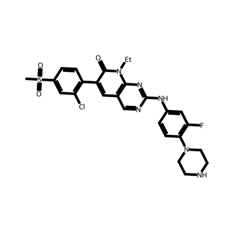 CCn1c(=O)c(-c2ccc(S(C)(=O)=O)cc2Cl)cc2cnc(Nc3ccc(N4CCNCC4)c(F)c3)nc21